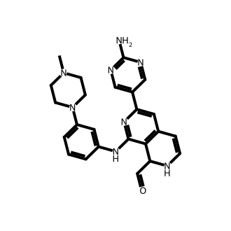 CN1CCN(c2cccc(Nc3nc(-c4cnc(N)nc4)cc4c3C(C=O)NC=C4)c2)CC1